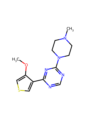 COc1cscc1-c1ncnc(N2CCN(C)CC2)n1